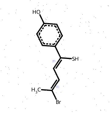 C/C(Br)=C\C=C(/S)c1ccc(O)cc1